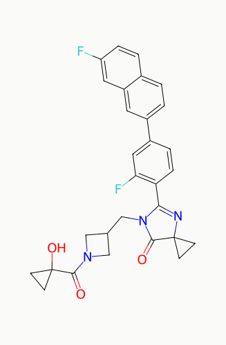 O=C(N1CC(CN2C(=O)C3(CC3)N=C2c2ccc(-c3ccc4ccc(F)cc4c3)cc2F)C1)C1(O)CC1